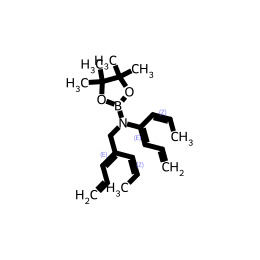 C=C/C=C(\C=C/C)CN(B1OC(C)(C)C(C)(C)O1)C(/C=C\C)=C/C=C